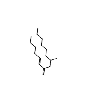 [CH]=C(C=CCCCC)CC(C)CCCCCC